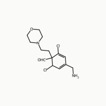 NCC1=CC(Cl)C(C=O)(CCN2CCOCC2)C(Cl)=C1